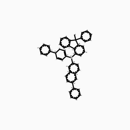 CC1(c2ccccc2)c2ccccc2-c2c(N(C3=CCC(c4ccccc4)C=C3)c3ccc4cc(-c5ccccc5)ccc4c3)cccc21